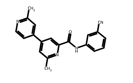 Cc1cc(-c2cc(C)nc(C(=O)Nc3cccc(C#N)c3)c2)ccn1